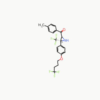 Cc1ccc(C(=O)C2N[C@]2(c2ccc(OCCCC(F)(F)F)cc2)C(F)(F)F)cc1